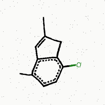 CC1=Cc2c(C)ccc(Cl)c2C1